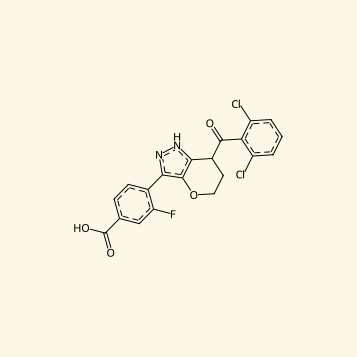 O=C(O)c1ccc(-c2n[nH]c3c2OCCC3C(=O)c2c(Cl)cccc2Cl)c(F)c1